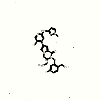 COC[C@H]1Cn2cc(-c3cc(Nc4ccn(C)n4)ncc3Cl)cc2C(=O)N1Cc1cc(F)ccc1CO